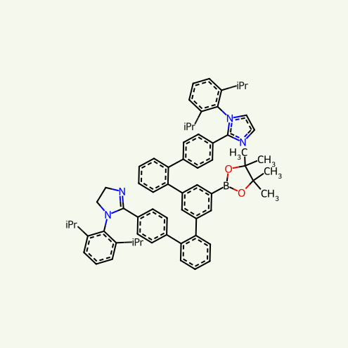 CC(C)c1cccc(C(C)C)c1N1CCN=C1c1ccc(-c2ccccc2-c2cc(B3OC(C)(C)C(C)(C)O3)cc(-c3ccccc3-c3ccc(-c4nccn4-c4c(C(C)C)cccc4C(C)C)cc3)c2)cc1